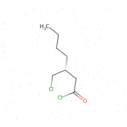 CCCC[C@@H](CCl)CC(=O)Cl